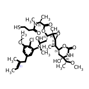 C/C=C(\C)Cc1cc(OC)c(Cl)c(N(C)C(O)C[C@H](OC(=O)[C@H](C)N(C)C(=O)CCS)[C@@]2(C)O[C@H]2[C@H](C)[C@@H]2C[C@](O)([C@@H](C)OC)NC(=O)O2)c1